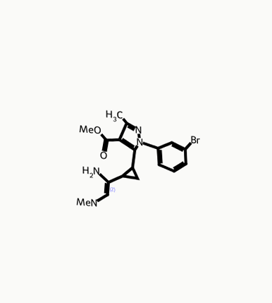 CN/C=C(\N)C1CC1c1c(C(=O)OC)c(C)nn1-c1cccc(Br)c1